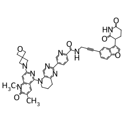 Cc1cc2c(N3CCCc4nc(-c5ccc(C(=O)NCC#Cc6ccc7occ(C8CCC(=O)NC8=O)c7c6)nc5)ncc43)nc(N3CC4(COC4)C3)cc2n(C)c1=O